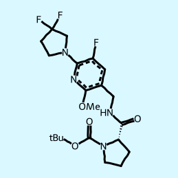 COc1nc(N2CCC(F)(F)C2)c(F)cc1CNC(=O)[C@@H]1CCCN1C(=O)OC(C)(C)C